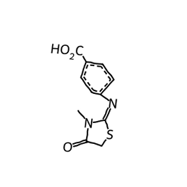 CN1C(=O)CS/C1=N/c1ccc(C(=O)O)cc1